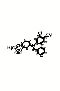 CC(C)(C)[Si](C)(C)OC1CCCC(N(Cc2ccccc2)c2ccc(C#N)c(Cl)c2)C1